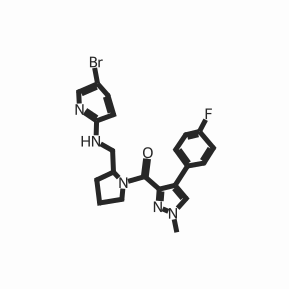 Cn1cc(-c2ccc(F)cc2)c(C(=O)N2CCCC2CNc2ccc(Br)cn2)n1